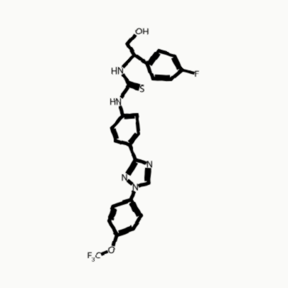 OCC(NC(=S)Nc1ccc(-c2ncn(-c3ccc(OC(F)(F)F)cc3)n2)cc1)c1ccc(F)cc1